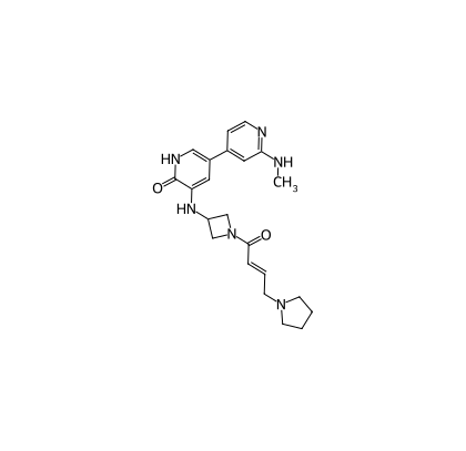 CNc1cc(-c2c[nH]c(=O)c(NC3CN(C(=O)/C=C/CN4CCCC4)C3)c2)ccn1